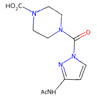 CC(=O)Nc1ccn(C(=O)N2CCN(C(=O)O)CC2)n1